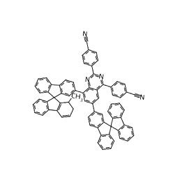 CC1CC=CC2=C1C1(c3ccccc32)c2ccccc2-c2ccc(-c3cc(-c4ccc5c(c4)C4(c6ccccc6-c6ccccc64)c4ccccc4-5)cc4c(-c5ccc(C#N)cc5)nc(-c5ccc(C#N)cc5)nc34)cc21